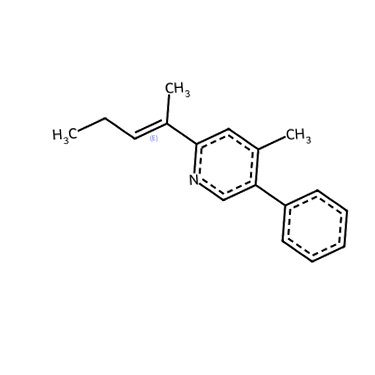 CC/C=C(\C)c1cc(C)c(-c2ccccc2)cn1